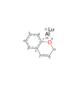 C1=Cc2ccccc2OC1.[Al].[Lu]